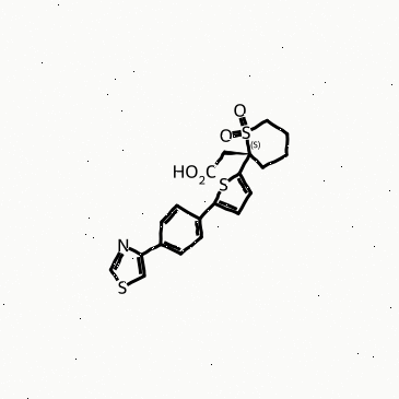 O=C(O)C[C@]1(c2ccc(-c3ccc(-c4cscn4)cc3)s2)CCCCS1(=O)=O